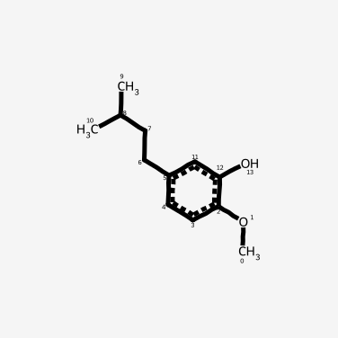 COc1ccc(CCC(C)C)cc1O